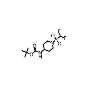 CC(C)(C)OC(=O)NC1CCN(S(=O)(=O)C(F)F)CC1